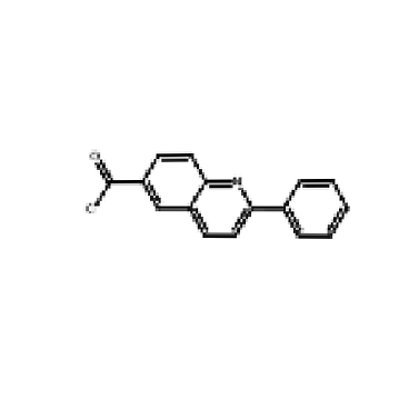 O=C(Cl)c1ccc2nc(-c3ccccc3)ccc2c1